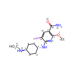 CCOc1nc(N[C@H]2CC[C@H](NC(=O)O)CC2)c(I)cc1C(N)=O